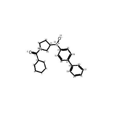 O=C(C1CCCCC1)N1CCC([S+]([O-])c2ccc(-c3ccccc3)cc2)C1